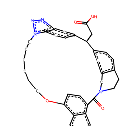 O=C(O)CC1c2ccc3c(c2)CN(CC3)C(=O)c2ccc(c3ccccc23)OCCCCCCn2nnc3cc1ccc32